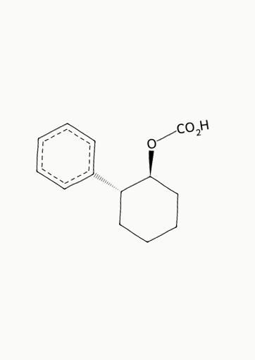 O=C(O)O[C@H]1CCCC[C@@H]1c1ccccc1